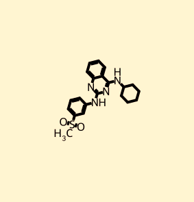 CS(=O)(=O)c1cccc(Nc2nc(NC3CCCCC3)c3ccccc3n2)c1